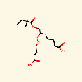 CCC(C)(C)C(=O)OCC(CCCCC(=O)O)OOCCCC(=O)O